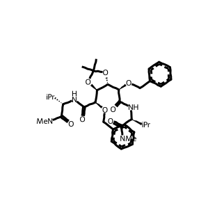 CNC(=O)[C@@H](NC(=O)[C@H](OCc1ccccc1)[C@H]1OC(C)(C)O[C@@H]1[C@@H](OCc1ccccc1)C(=O)N[C@H](C(=O)NC)C(C)C)C(C)C